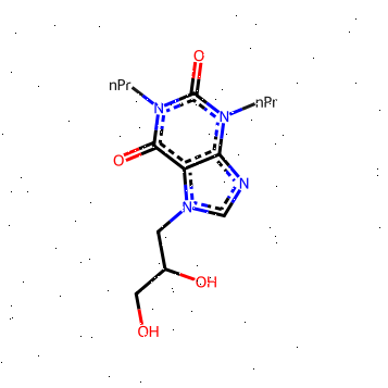 CCCn1c(=O)c2c(ncn2CC(O)CO)n(CCC)c1=O